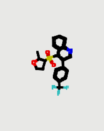 CC1OCCC1S(=O)(=O)c1c(-c2ccc(C(F)(F)F)cc2)cnc2ccccc12